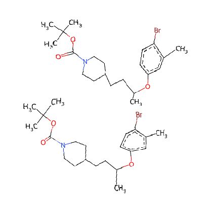 Cc1cc(OC(C)CCC2CCN(C(=O)OC(C)(C)C)CC2)ccc1Br.Cc1cc(OC(C)CCC2CCN(C(=O)OC(C)(C)C)CC2)ccc1Br